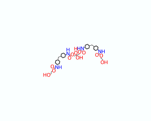 O=C(Nc1ccc(Cc2ccc(NC(=O)OCC(O)(O)COC(=O)Nc3ccc(Cc4ccc(NC(=O)OCCO)cc4)cc3)cc2)cc1)OCCO